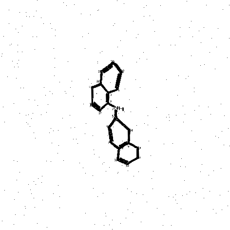 C1=CC2=C(NC3C=CC4=C(CCC=C4)C3)C=CCC2C=C1